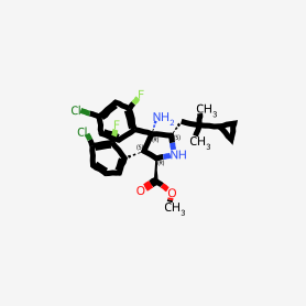 COC(=O)[C@@H]1N[C@@H](CC(C)(C)C2CC2)[C@](N)(c2ccc(Cl)cc2F)[C@H]1c1cccc(Cl)c1F